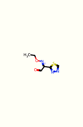 CCO/N=C(\[C]=O)c1nncs1